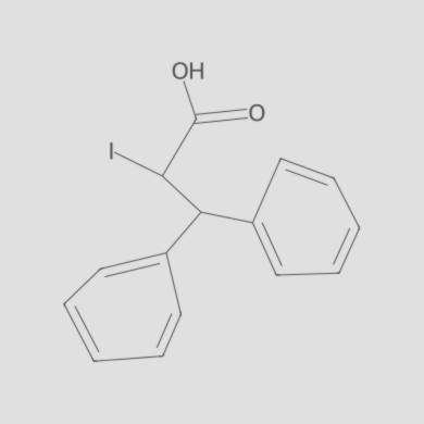 O=C(O)C(I)C(c1ccccc1)c1ccccc1